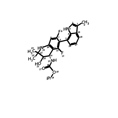 Cc1c[nH]c2c(-c3c(F)cc4c(c3F)[C@H](NC(=O)OC(C)C)C(O)C(C)(C)N4)cccc12